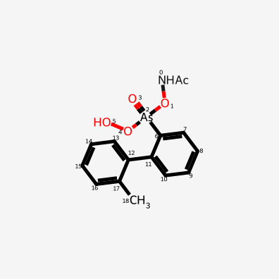 CC(=O)NO[As](=O)(OO)c1ccccc1-c1ccccc1C